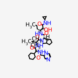 CCC[C@H](NC(=O)[C@@H]1[C@H]2CCCC2CN1C(=O)[C@@H](NC(=O)[C@@H](NC(=O)c1cnccn1)C1CCCCC1)C(C)(C)C)[C@@H](O)C(=O)NC1CC1